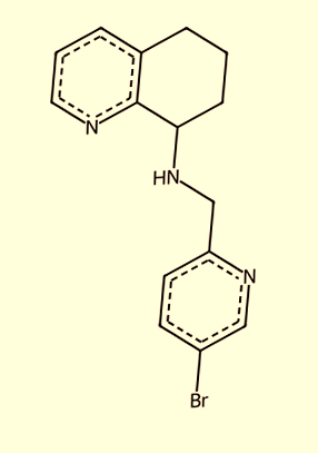 Brc1ccc(CNC2CCCc3cccnc32)nc1